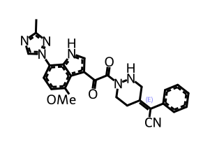 COc1ccc(-n2cnc(C)n2)c2[nH]cc(C(=O)C(=O)N3CC/C(=C(\C#N)c4ccccc4)CN3)c12